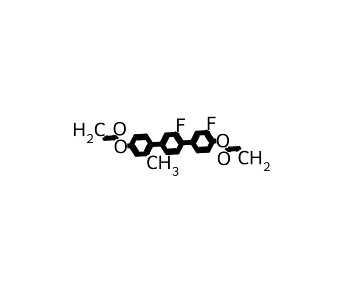 C=CC(=O)Oc1ccc(-c2ccc(-c3ccc(OC(=O)C=C)c(F)c3)c(F)c2)c(C)c1